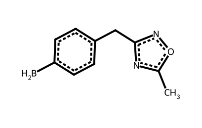 Bc1ccc(Cc2noc(C)n2)cc1